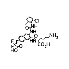 Cc1cccc(Cl)c1NC(=O)Nc1cc2ccccc2cc1C(=O)N[C@@H](CCCCN)C(=O)O.O=C(O)C(F)(F)F